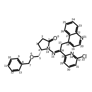 O=C1CC[C@@H](COCc2ccccc2)N1/N=C(\Cc1ccnc2ccccc12)c1cccc(Cl)n1